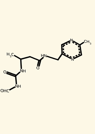 Cc1cnc(CNC(=O)CC(C)NC(=O)NC=O)cn1